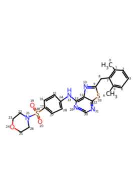 Cc1cccc(C)c1Cc1nc2c(Nc3ccc(S(=O)(=O)N4CCOCC4)cc3)ncnc2s1